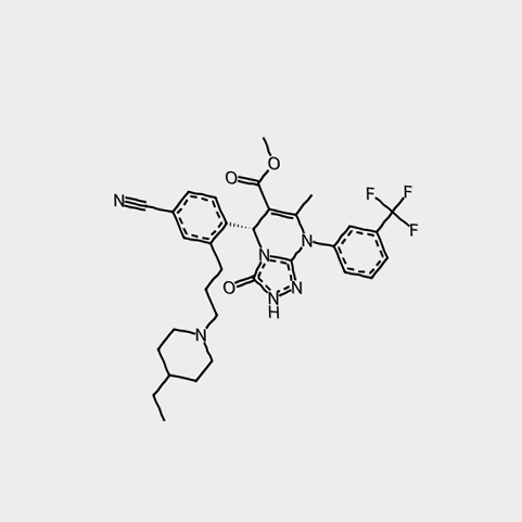 CCC1CCN(CCCc2cc(C#N)ccc2[C@@H]2C(C(=O)OC)=C(C)N(c3cccc(C(F)(F)F)c3)c3n[nH]c(=O)n32)CC1